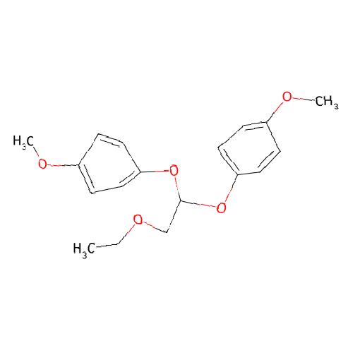 CCOCC(Oc1ccc(OC)cc1)Oc1ccc(OC)cc1